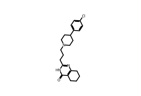 O=c1[nH]c(CCCN2CCC(c3ccc(Cl)cc3)CC2)nc2c1CCCC2